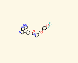 O=C(CN1CCCC(COc2ccc(OC(F)(F)F)cc2)C1)C1CCC(c2ccnc3cnc4[nH]ccc4c23)CC1